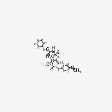 COC(=O)[C@H](Cc1ccc(OC)cc1)NC(=O)CC(C)(C)NC(=O)OCc1ccccc1